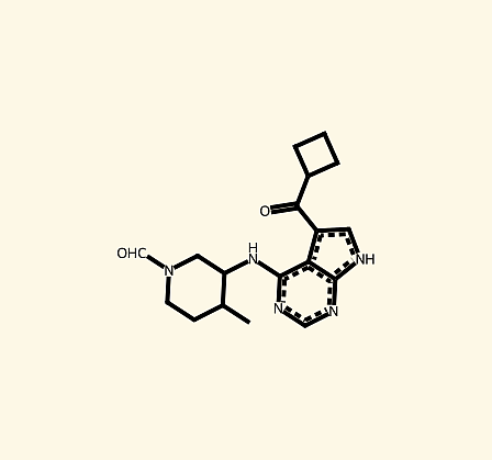 CC1CCN(C=O)CC1Nc1ncnc2[nH]cc(C(=O)C3CCC3)c12